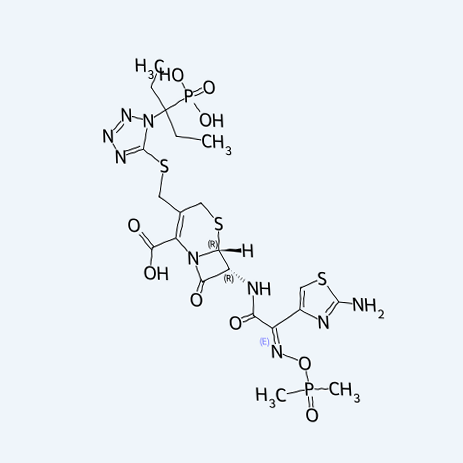 CCC(CC)(n1nnnc1SCC1=C(C(=O)O)N2C(=O)[C@@H](NC(=O)/C(=N/OP(C)(C)=O)c3csc(N)n3)[C@H]2SC1)P(=O)(O)O